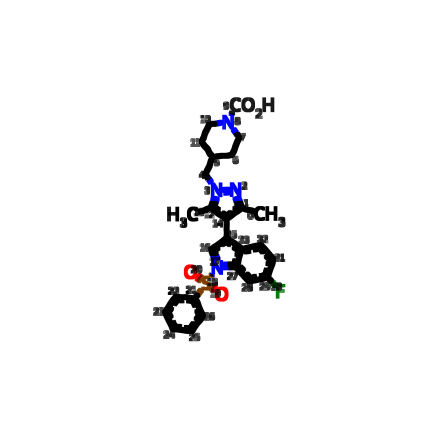 Cc1nn(CC2CCN(C(=O)O)CC2)c(C)c1-c1cn(S(=O)(=O)c2ccccc2)c2cc(F)ccc12